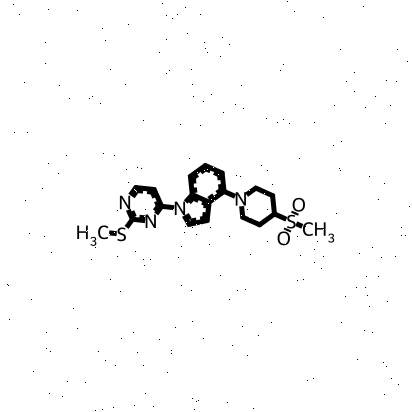 CSc1nccc(-n2ccc3c(N4CCC(S(C)(=O)=O)CC4)cccc32)n1